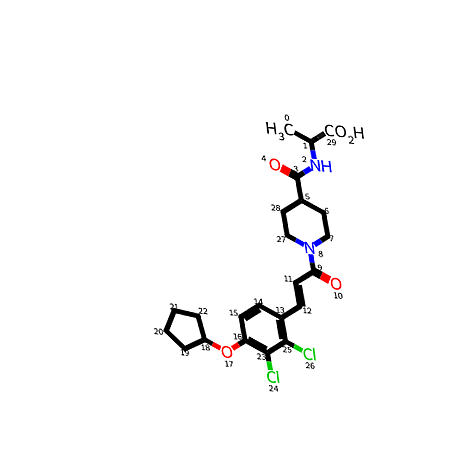 CC(NC(=O)C1CCN(C(=O)C=Cc2ccc(OC3CCCC3)c(Cl)c2Cl)CC1)C(=O)O